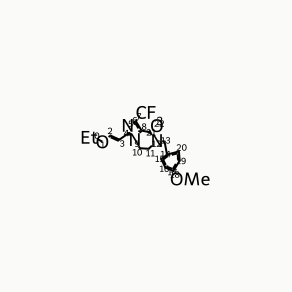 CCOC=Cc1nc(C(F)(F)F)c2n1CCN(Cc1ccc(OC)cc1)C2=O